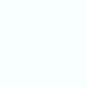 Fc1c(F)c(F)c(OC2OC2CCc2ccccc2)c(F)c1F